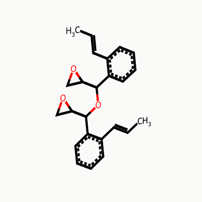 CC=Cc1ccccc1C(OC(c1ccccc1C=CC)C1CO1)C1CO1